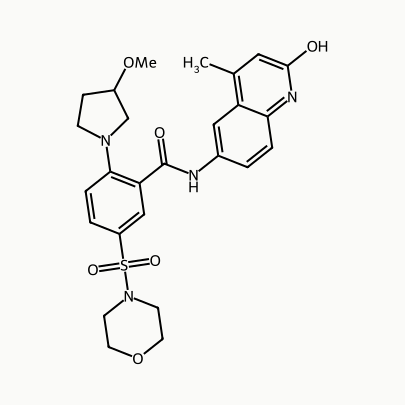 COC1CCN(c2ccc(S(=O)(=O)N3CCOCC3)cc2C(=O)Nc2ccc3nc(O)cc(C)c3c2)C1